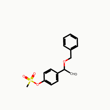 CS(=O)(=O)Oc1ccc(C(C=O)OCc2ccccc2)cc1